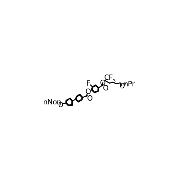 CCCCCCCCCOc1ccc(-c2ccc(C(=O)Oc3ccc(C(=O)OC(CCCCOCCC)C(F)(F)F)cc3F)cc2)cc1